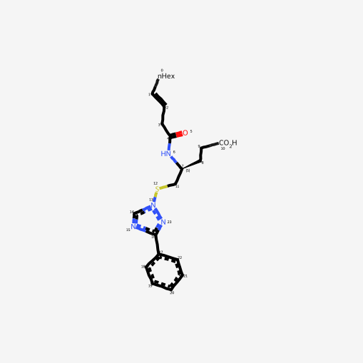 CCCCCCC=CCC(=O)N[C@@H](CCC(=O)O)CSn1cnc(-c2ccccc2)n1